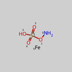 NOS(=O)(=O)O.[Fe]